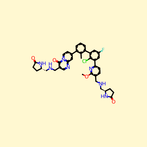 COc1nc(-c2cc(F)cc(-c3cccc(-c4ccn5c(=O)c(CNC[C@@H]6CCC(=O)N6)cnc5c4)c3C)c2Cl)ccc1CNC[C@H]1CCC(=O)N1